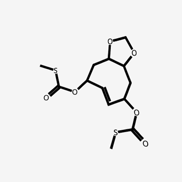 CSC(=O)OC1/C=C/C(OC(=O)SC)CC2OCOC2C1